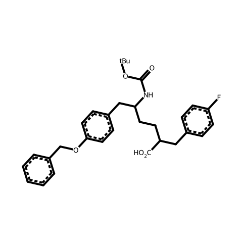 CC(C)(C)OC(=O)NC(CCC(Cc1ccc(F)cc1)C(=O)O)Cc1ccc(OCc2ccccc2)cc1